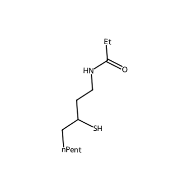 CCCCCCC(S)CCNC(=O)CC